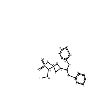 O=S1(=O)CC2(CC(N(Cc3ccccc3)Cc3ccccc3)C2)C1CI